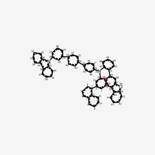 c1cc(-c2cccc3ccccc23)cc(N(c2ccc(-c3ccc(-c4cccc(-n5c6ccccc6c6ccccc65)c4)cc3)cc2)c2ccccc2-c2ccc3c(c2)oc2ccccc23)c1